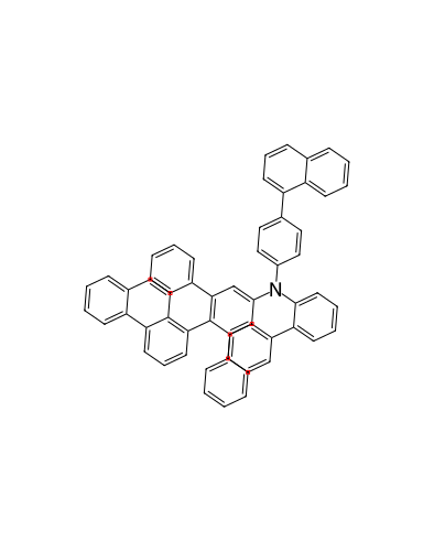 c1ccc(-c2ccccc2N(c2ccc(-c3cccc4ccccc34)cc2)c2cc(-c3ccccc3)c(-c3cccc4c3ccc3ccccc34)c(-c3ccccc3)c2)cc1